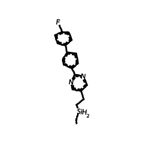 CC[SiH2]CCc1cnc(-c2ccc(-c3ccc(F)cc3)cc2)nc1